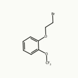 FC(F)(F)Oc1ccccc1OCCBr